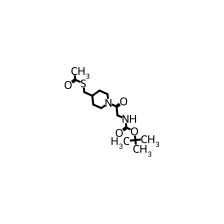 CC(=O)SCC1CCN(C(=O)CNC(=O)OC(C)(C)C)CC1